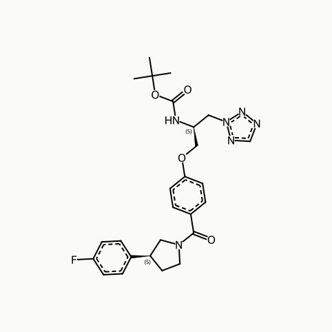 CC(C)(C)OC(=O)N[C@H](COc1ccc(C(=O)N2CC[C@@H](c3ccc(F)cc3)C2)cc1)Cn1ncnn1